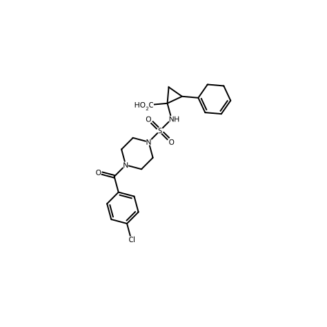 O=C(c1ccc(Cl)cc1)N1CCN(S(=O)(=O)NC2(C(=O)O)CC2C2=CC=CCC2)CC1